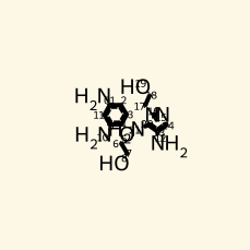 Nc1ccc(OCCO)c(N)c1.Nc1cnn(CCO)c1N